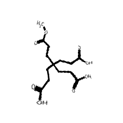 COC(=O)CCC(CCC(=O)O)(CCC(=O)O)CCC(=O)O